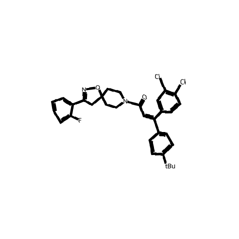 CC(C)(C)c1ccc(C(=CC(=O)N2CCC3(CC2)CC(c2ccccc2F)=NO3)c2ccc(Cl)c(Cl)c2)cc1